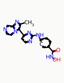 Cc1nc2cnccn2c1-c1ccnc(Nc2ccc(C(=O)NO)cc2)n1